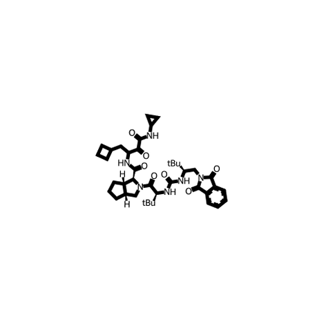 CC(C)(C)[C@H](NC(=O)N[C@H](CN1C(=O)c2ccccc2C1=O)C(C)(C)C)C(=O)N1C[C@@H]2CCC[C@@H]2[C@H]1C(=O)NC(CC1CCC1)C(=O)C(=O)NC1CC1